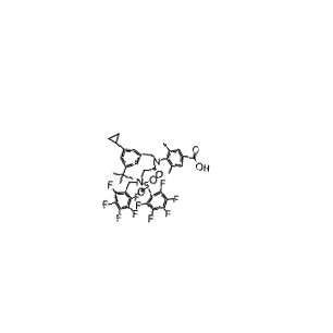 Cc1cc(C(=O)O)cc(C)c1N(Cc1cc(C2CC2)cc(C(C)(C)C)c1)C(=O)CN(Cc1c(F)c(F)c(F)c(F)c1F)S(=O)(=O)c1c(F)c(F)c(F)c(F)c1F